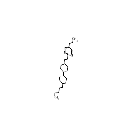 CCCCC[C@H]1CC[C@H]([C@H]2CC[C@H](CCc3ncc(CCC)cn3)CC2)CC1